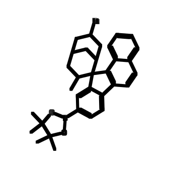 CCC1CC2CC(C)C3(c4cc(B5OC(C)(C)C(C)(C)O5)ccc4-c4ccc5ccccc5c43)C(C1)C2